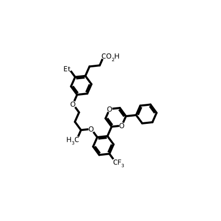 CCc1cc(OCCC(C)Oc2ccc(C(F)(F)F)cc2C2=COC=C(C3=CC=CCC3)O2)ccc1CCC(=O)O